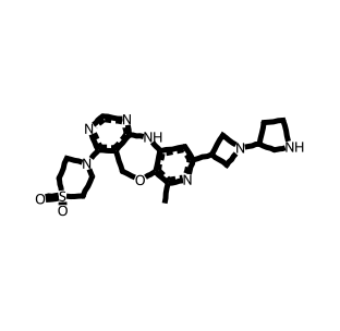 Cc1nc(C2CN(C3CCNC3)C2)cc2c1OCc1c(ncnc1N1CCS(=O)(=O)CC1)N2